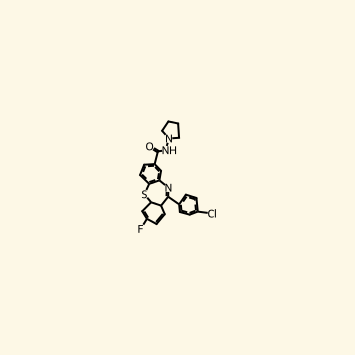 O=C(NN1CCCC1)c1ccc2c(c1)N=C(c1ccc(Cl)cc1)C1C=CC(F)=CC1S2